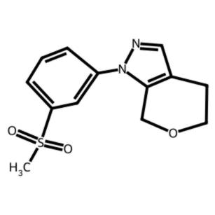 CS(=O)(=O)c1cccc(-n2ncc3c2COCC3)c1